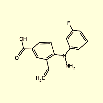 C=Cc1cc(C(=O)O)ccc1N(N)c1cccc(F)c1